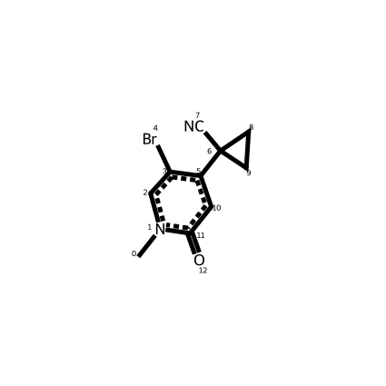 Cn1cc(Br)c(C2(C#N)CC2)cc1=O